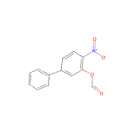 O=COc1cc(-c2ccccc2)ccc1[N+](=O)[O-]